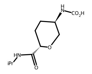 CC(C)NC(=O)[C@@H]1CC[C@@H](NC(=O)O)CO1